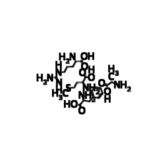 CSCC[C@H](N)C(=O)O.C[C@H](N)C(=O)O.N=C(N)NCCC[C@H](N)C(=O)O.N[C@@H](Cc1ccccc1)C(=O)O